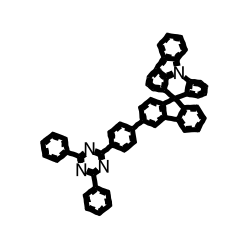 c1ccc(-c2nc(-c3ccccc3)nc(-c3ccc(-c4ccc5c(c4)-c4ccccc4C54c5ccccc5-n5c6ccccc6c6cccc4c65)cc3)n2)cc1